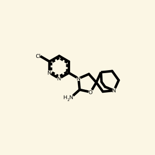 NC1OC2(CN3CCC2CC3)CN1c1ccc(Cl)nn1